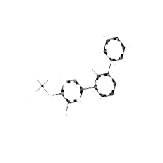 CC(C)(C)Nc1ncc(-c2cccc(-c3ccccc3)c2F)nc1Br